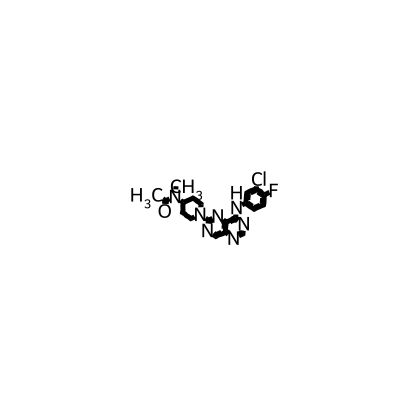 CC(=O)N(C)C1CCN(c2ncc3ncnc(Nc4ccc(F)c(Cl)c4)c3n2)CC1